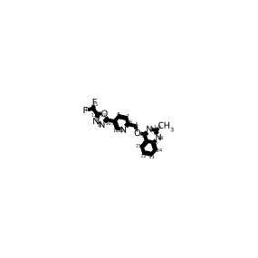 Cc1nc(OCc2ccc(-c3nnc(C(F)F)o3)cn2)c2ccccc2n1